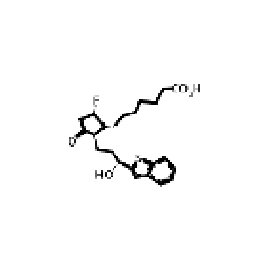 O=C(O)CCCCCC[C@H]1[C@@H](F)CC(=O)[C@@H]1CC[C@@H](O)c1cc2ccccc2s1